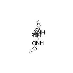 CCc1ccc(CC(=O)NC(CCCCNC(=O)Cc2ccc(CC(C)C)cc2)C(=O)NC(C)C)cc1